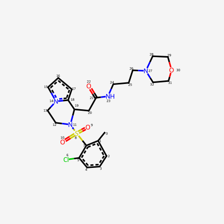 Cc1cccc(Cl)c1S(=O)(=O)N1CCn2cccc2C1CC(=O)NCCCN1CCOCC1